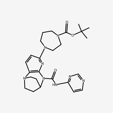 CC(C)(C)OC(=O)N1CCCN(c2ccc3c(n2)N(C(=O)Nc2ccncn2)C2CCN3CC2)CC1